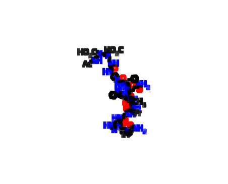 CC(=O)CNCCN(CCN(CCNCC(=O)NC1CCN(CC(=O)N[C@H](Cc2ccccc2)C(=O)N[C@@H](CCC(N)=O)C(=O)N[C@@H](Cc2c[nH]c3ccccc23)C(=O)N[C@@H](C)C(=O)N[C@H](C(=O)NCC(=O)N[C@@H](Cc2cnc[nH]2)C(=O)N[C@@H](CC(C)C)CN2CCC[C@H]2C(N)=O)C(C)C)CC1)CC(=O)O)CC(=O)O